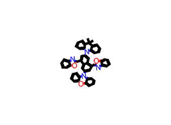 CC1(C)c2ccccc2N(c2cc(-c3nc4ccccc4o3)c3cc(N4c5ccccc5Oc5ccccc54)cc(-c4nc5ccccc5o4)c3c2)c2ccccc21